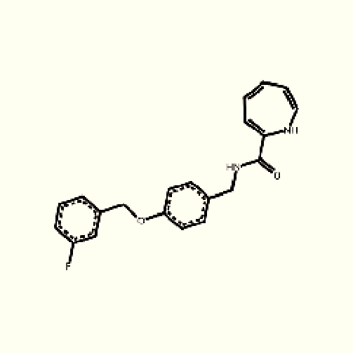 O=C(NCc1ccc(OCc2cccc(F)c2)cc1)C1=CC=CC=CN1